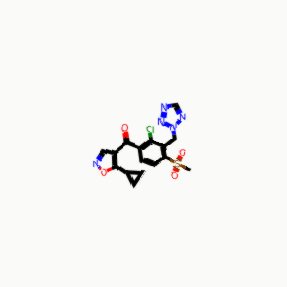 CS(=O)(=O)c1ccc(C(=O)c2cnoc2C2CC2)c(Cl)c1Cn1ncnn1